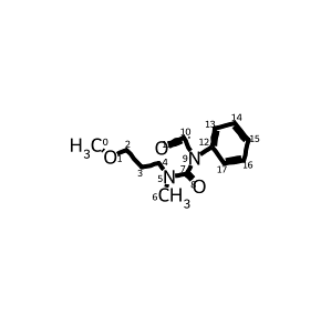 COCCCN(C)C(=O)N([C]=O)c1ccccc1